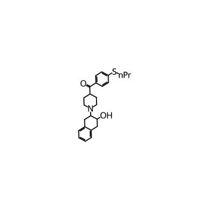 CCCSc1ccc(C(=O)C2CCN(C3Cc4ccccc4CC3O)CC2)cc1